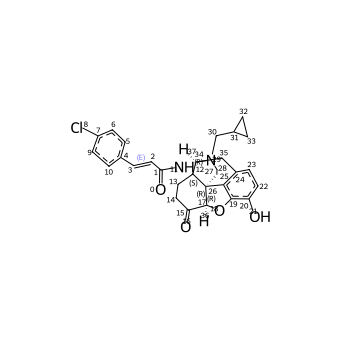 O=C(/C=C/c1ccc(Cl)cc1)N[C@@]12CCC(=O)[C@@H]3Oc4c(O)ccc5c4[C@@]31CCN(CC1CC1)[C@@H]2C5